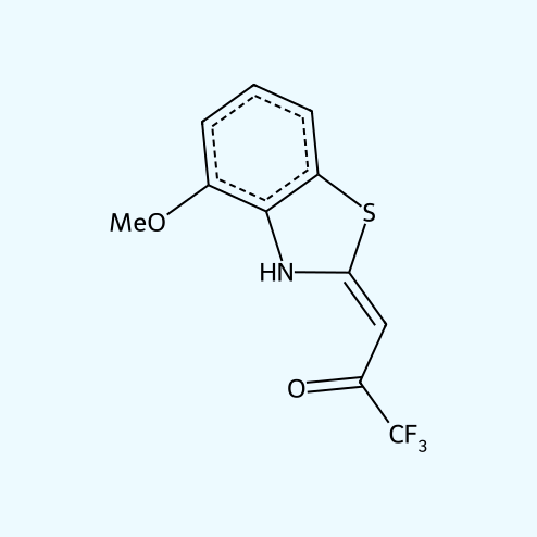 COc1cccc2c1NC(=CC(=O)C(F)(F)F)S2